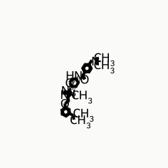 CC(C)c1cccc(OCc2nnc([C@@H]3CC[C@@H](NC(=O)c4ccc(CN(C)C)cc4)CO3)n2C)c1